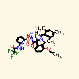 CCOc1cccc2c1CN(Cc1c(C)cc(C)cc1C)C2(C)C(=O)NS(=O)(=O)c1cccc(NC(=O)C(F)(F)F)n1